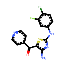 Nc1nc(Nc2ccc(Cl)c(F)c2)sc1C(=O)c1ccncc1